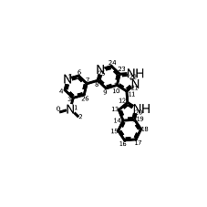 CN(C)c1cncc(-c2cc3c(-c4cc5ccccc5[nH]4)n[nH]c3cn2)c1